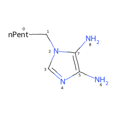 CCCCCCn1cnc(N)c1N